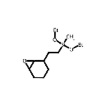 CCO[Si](C)(CCC1CCCC2OC12)OCC